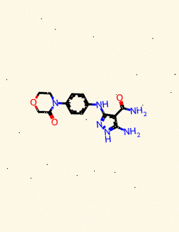 NC(=O)c1c(Nc2ccc(N3CCOCC3=O)cc2)n[nH]c1N